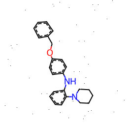 c1ccc(COc2ccc(Nc3ccccc3N3CCCCC3)cc2)cc1